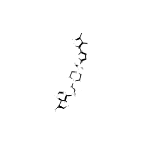 Cc1noc(-c2ccc(S(=O)(=O)N3CCN(C[C@H](C)Nc4ncnc5c(C)csc45)CC3)s2)c1C